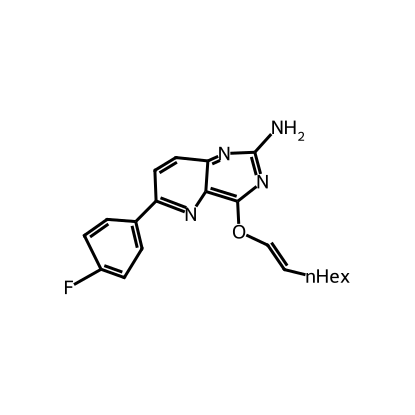 CCCCCCC=COc1nc(N)nc2ccc(-c3ccc(F)cc3)nc12